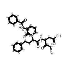 O=C(O)CC(NC(=O)C(CCc1ccccc1)n1cccc(NC(=O)c2ccccc2)c1=O)C(=O)CF